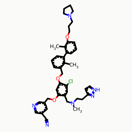 Cc1c(COc2cc(OCc3cncc(C#N)c3)c(CN(C)CCc3cc[nH]n3)cc2Cl)cccc1-c1cccc(OCCCN2CCCC2)c1C